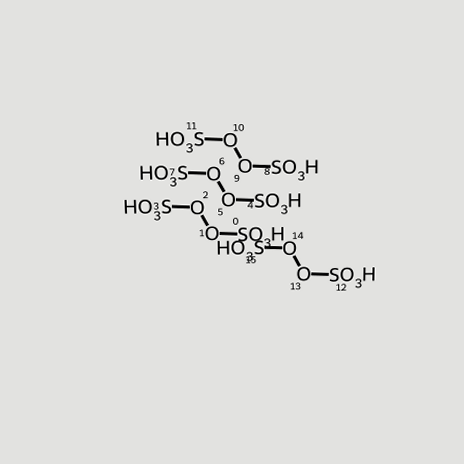 O=S(=O)(O)OOS(=O)(=O)O.O=S(=O)(O)OOS(=O)(=O)O.O=S(=O)(O)OOS(=O)(=O)O.O=S(=O)(O)OOS(=O)(=O)O